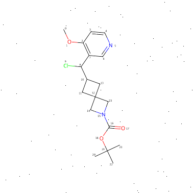 COc1ccncc1C(Cl)C1CC2(C1)CN(C(=O)OC(C)(C)C)C2